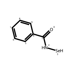 O=C(N[SeH])c1ccccc1